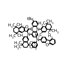 Cc1cc2c(cc1N1c3ccc(C(C)(C)C)cc3B3c4oc5cc6c(cc5c4N(c4ccc5c(c4)C(C)(C)CCC5(C)C)c4cc(N(c5ccccc5)c5ccc7c(c5)oc5ccccc57)cc1c43)C(C)(C)CCC6(C)C)C(C)(C)CCC2(C)C